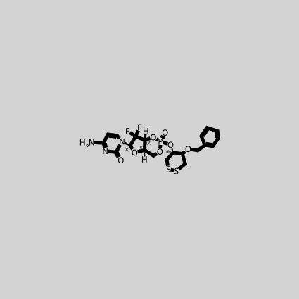 Nc1ccn([C@@H]2O[C@@H]3COP(=O)(O[C@H]4CSSCC4OCc4ccccc4)O[C@H]3C2(F)F)c(=O)n1